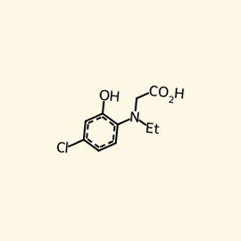 CCN(CC(=O)O)c1ccc(Cl)cc1O